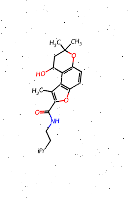 Cc1c(C(=O)NCCC(C)C)oc2ccc3c(c12)C(O)CC(C)(C)O3